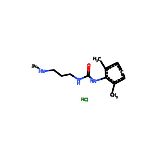 Cc1cccc(C)c1NC(=O)NCCCNC(C)C.Cl